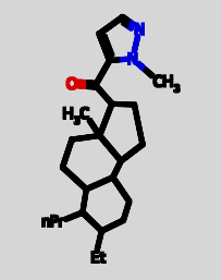 CCCC1C(CC)CCC2C1CCC1(C)C(C(=O)c3ccnn3C)CCC21